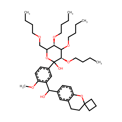 CCCCOCC1OC(O)(c2ccc(OC)c(C(O)c3ccc4c(c3)CCC3(CCC3)O4)c2)[C@H](OCCCC)C(OCCCC)[C@@H]1OCCCC